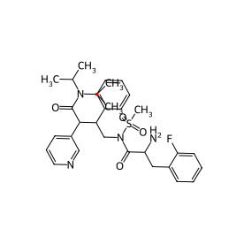 CC(C)N(C(=O)C(c1cccnc1)C(CN(C(=O)C(N)Cc1ccccc1F)S(C)(=O)=O)c1ccccc1)C(C)C